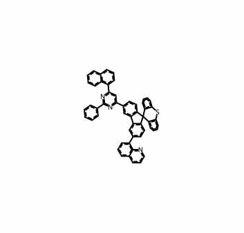 c1ccc(-c2nc(-c3ccc4c(c3)-c3cc(-c5cccc6cccnc56)ccc3C43c4ccccc4Sc4ccccc43)cc(-c3cccc4ccccc34)n2)cc1